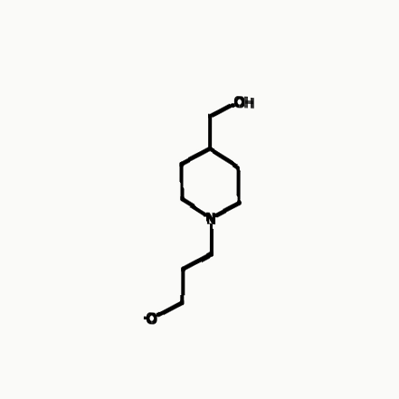 [O]CCCN1CCC(CO)CC1